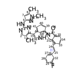 Cc1cnc(Nc2cc(C)n(C)n2)nc1-c1c[nH]c2c(N3Cc4c(/C=C/c5cccc(F)c5)cccc4C3=O)cccc12